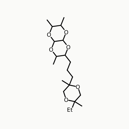 CCC1(C)COC(C)(CCCC2OC3OC(C)C(C)OC3OC2C)CO1